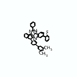 Cc1cc(C)cc(-c2ccc3c4ccccc4n(-c4cc(-c5ccccc5F)ccc4-c4nc(-c5ccccc5)nc(-c5ccccc5)n4)c3c2)c1